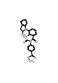 COC(=O)c1ccc(N(C=O)C(=O)c2cccc(N3c4ccccc4CC3C)c2C)cc1